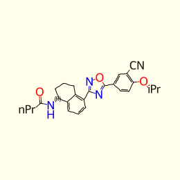 CCCC(=O)N[C@@H]1CCCc2c(-c3noc(-c4ccc(OC(C)C)c(C#N)c4)n3)cccc21